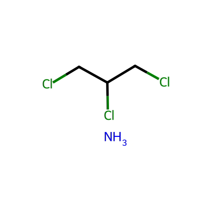 ClCC(Cl)CCl.N